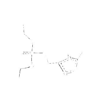 CCOP(=S)(OCC)SCc1noc(C)n1